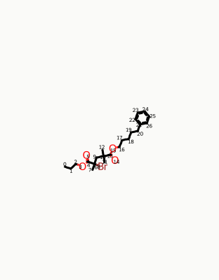 CCCOC(=O)C(C)(Br)CC(C)(C)C(=O)OCCCCCc1ccccc1